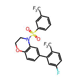 O=S(=O)(c1cccc(C(F)(F)F)c1)N1CCOc2ccc(-c3cc(F)ccc3C(F)(F)F)cc21